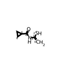 C=C(S)NC(=O)C1CC1